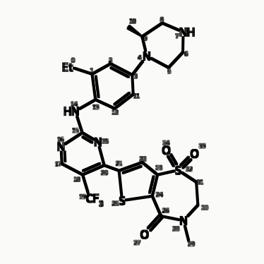 CCc1cc(N2CCNC[C@@H]2C)ccc1Nc1ncc(C(F)(F)F)c(-c2cc3c(s2)C(=O)N(C)CCS3(=O)=O)n1